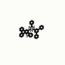 c1ccc(-c2cc(-c3ccccc3)cc(-c3nc(-c4ccccc4)nc(-c4cc5c6ccccc6c6ccccc6c5c5sc6ccccc6c45)n3)c2)cc1